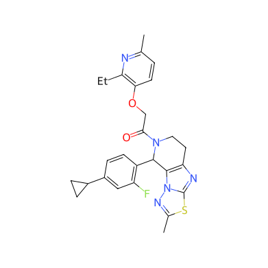 CCc1nc(C)ccc1OCC(=O)N1CCc2nc3sc(C)nn3c2C1c1ccc(C2CC2)cc1F